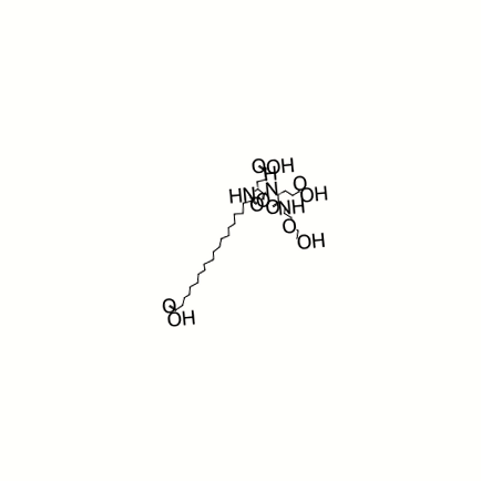 O=C(O)CCCCCCCCCCCCCCCCCCC(=O)N[C@@H](CCC(=O)O)C(=O)N[C@@H](CCC(=O)O)C(=O)NCCOCCO